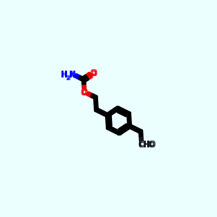 NC(=O)OCCc1ccc(CC=O)cc1